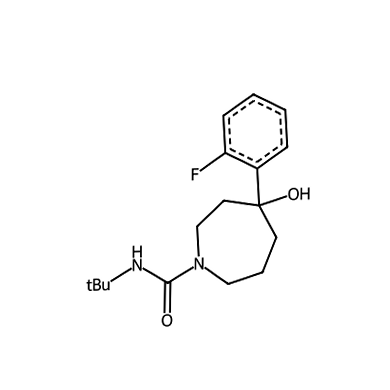 CC(C)(C)NC(=O)N1CCCC(O)(c2ccccc2F)CC1